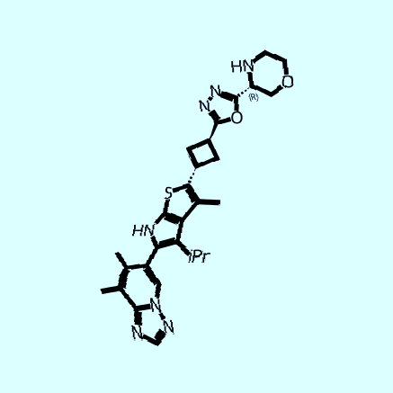 Cc1c(-c2[nH]c3sc([C@H]4C[C@H](c5nnc([C@H]6COCCN6)o5)C4)c(C)c3c2C(C)C)cn2ncnc2c1C